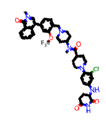 CN(C(=O)C1CCN(c2ccc(NC3CCC(=O)NC3=O)cc2Cl)CC1)C1CCN(Cc2ccc(-c3cn(C)c(=O)c4ccccc34)cc2OC(F)(F)F)CC1